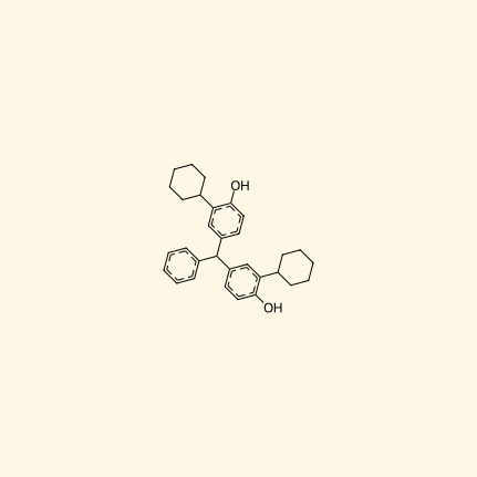 Oc1ccc(C(c2ccccc2)c2ccc(O)c(C3CCCCC3)c2)cc1C1CCCCC1